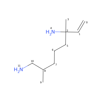 C=CC(C)(N)CCCC(C)CN